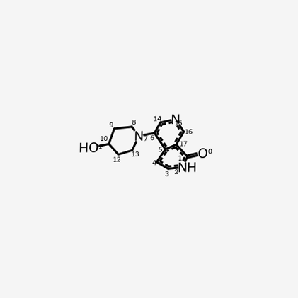 O=c1[nH]ccc2c(N3CCC(O)CC3)cncc12